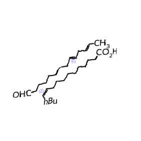 CC=CC/C=C/CCCCCCCC=O.CCCC/C=C\CCCCCCCCCC(=O)O